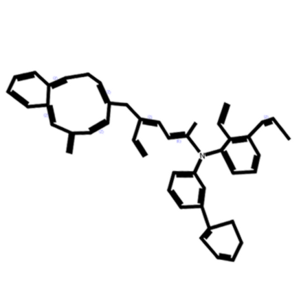 C=C/C(=C\C=C(/C)N(c1cccc(C2=CC=CCC2)c1)c1cccc(/C=C\C)c1C=C)CC1=C/C/C=c2/cccc/c2=C/C(=C)/C=C\1